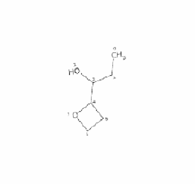 CCC(O)C1CCO1